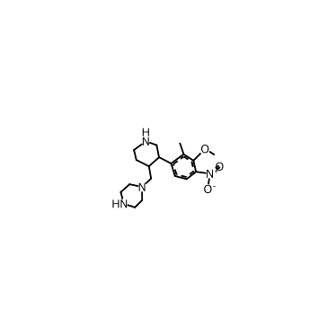 COc1c([N+](=O)[O-])ccc(C2CNCCC2CN2CCNCC2)c1C